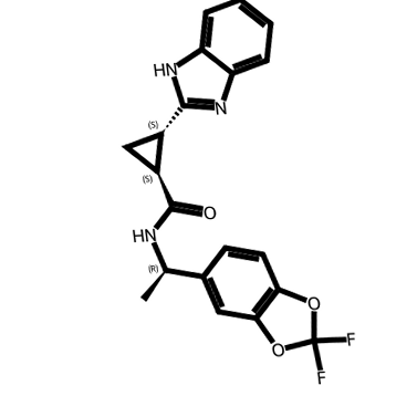 C[C@@H](NC(=O)[C@H]1C[C@@H]1c1nc2ccccc2[nH]1)c1ccc2c(c1)OC(F)(F)O2